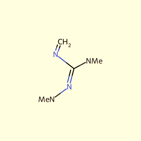 C=N/C(=N\NC)NC